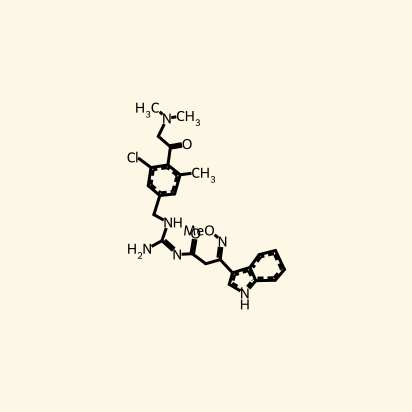 CON=C(CC(=O)N=C(N)NCc1cc(C)c(C(=O)CN(C)C)c(Cl)c1)c1c[nH]c2ccccc12